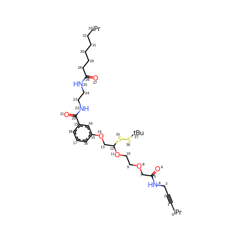 CC(C)C#CCNC(=O)COCCOC(COc1cccc(C(=O)NCCNC(=O)CCCCCC(C)C)c1)SSC(C)(C)C